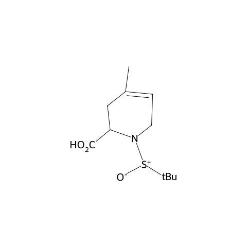 CC1=CCN([S+]([O-])C(C)(C)C)C(C(=O)O)C1